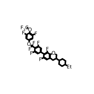 CCC1CCC(C2COc3c(cc(F)c(-c4cc(F)c(C(F)(F)Oc5cc(F)c(OC(F)(F)F)c(F)c5)c(F)c4)c3F)C2)CC1